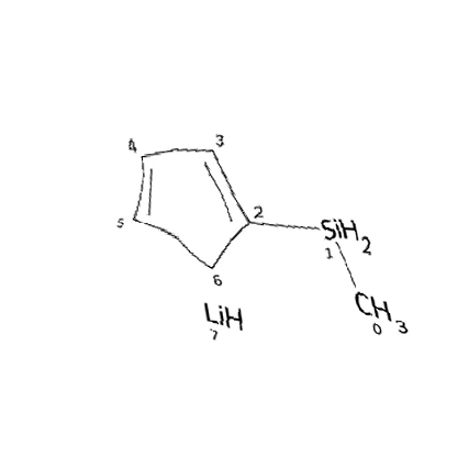 C[SiH2]C1=CC=CC1.[LiH]